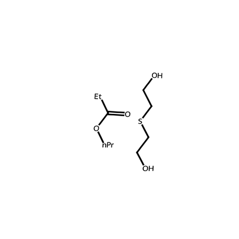 CCCOC(=O)CC.OCCSCCO